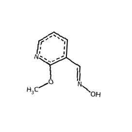 COc1ncccc1C=NO